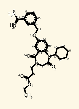 CCOC(=O)CCN1CC(=O)N(C2CCCCC2)c2ccc(OCc3cccc(C(=N)N)c3)cc2C1=O